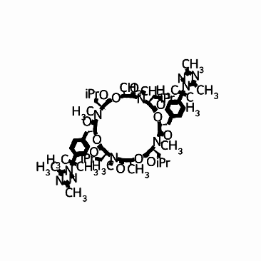 Cc1nc(C)n(C(C)(C)c2ccc(C[C@H]3OC(=O)[C@H](CC(C)C)N(C)C(=O)[C@@H](C)OC(=O)[C@H](CC(C)C)N(C)C(=O)[C@@H](Cc4ccc(C(C)(C)n5nc(C)nc5C)cc4)OC(=O)[C@H](CC(C)C)N(C)C(=O)[C@@H](C)OC(=O)[C@H](CC(C)C)N(C)C3=O)cc2)n1